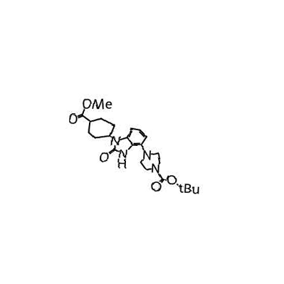 COC(=O)C1CCC(n2c(=O)[nH]c3c(N4CCN(C(=O)OC(C)(C)C)CC4)cccc32)CC1